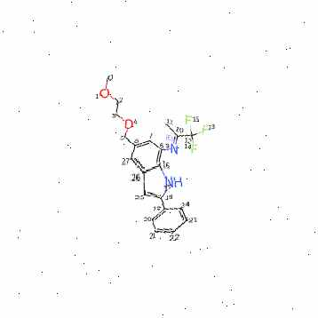 COCCOCc1cc(/N=C(\C)C(F)(F)F)c2[nH]c(-c3ccccc3)cc2c1